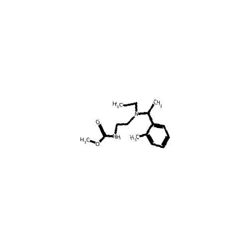 CCN(CCNC(=O)OC)C(C)c1ccccc1C